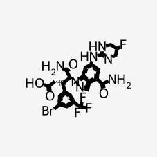 NC(=O)c1cc(NC2=NCC(F)CN2)cc2c1cnn2C(C(N)=O)[C@@H](CC(=O)O)c1cc(Br)cc(C(F)(F)F)c1